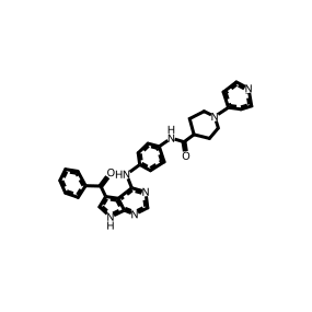 O=C(c1ccccc1)c1c[nH]c2ncnc(Nc3ccc(NC(=O)C4CCN(c5ccncc5)CC4)cc3)c12